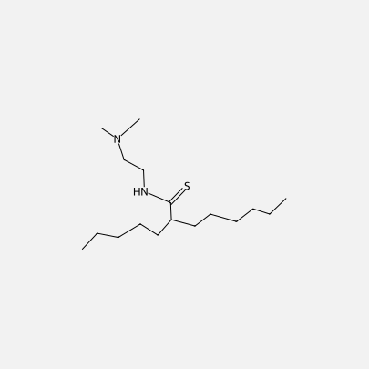 CCCCCCC(CCCCC)C(=S)NCCN(C)C